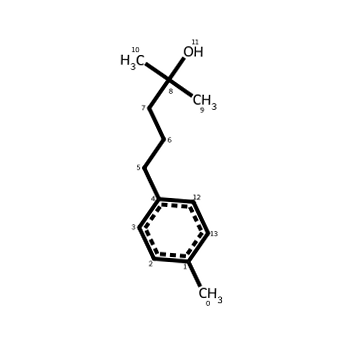 Cc1ccc(CCCC(C)(C)O)cc1